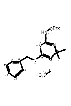 CCCCCCCCCCNC1=NC(C)(C)N=C(NCc2ccccc2)N1.CS(=O)(=O)O